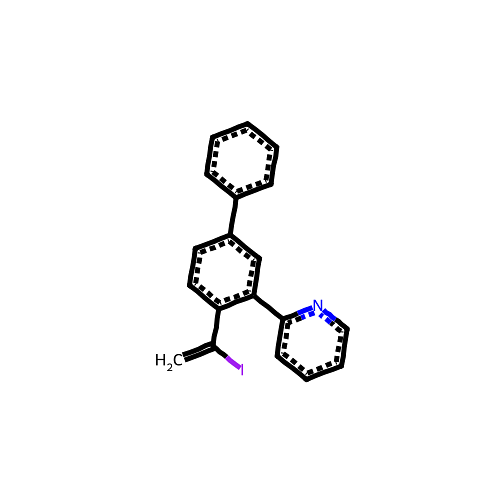 C=C(I)c1ccc(-c2ccccc2)cc1-c1ccccn1